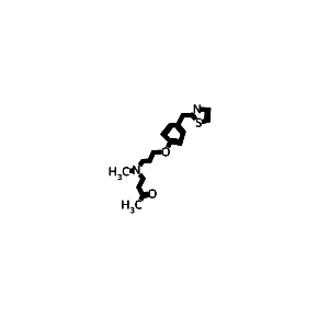 CC(=O)CCN(C)CCCOc1ccc(Cc2nccs2)cc1